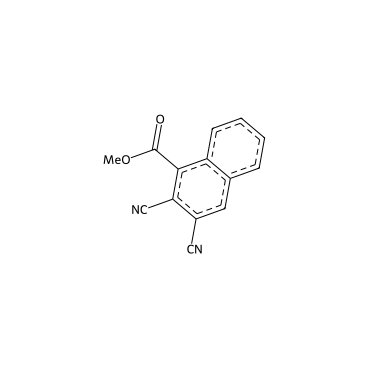 COC(=O)c1c(C#N)c(C#N)cc2ccccc12